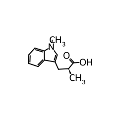 C[C@@H](Cc1cn(C)c2ccccc12)C(=O)O